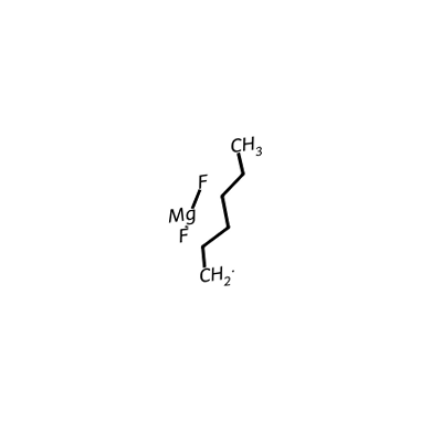 [CH2]CCCCC.[F][Mg][F]